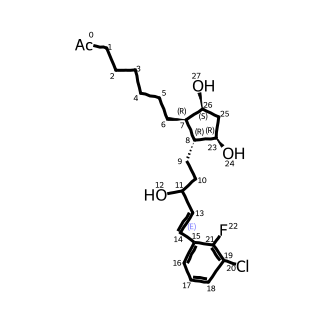 CC(=O)CCCCCC[C@@H]1[C@@H](CCC(O)/C=C/c2cccc(Cl)c2F)[C@H](O)C[C@@H]1O